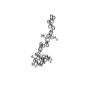 CC(C)(C1CCN(C(=O)COC(=O)N2CCN(c3cnc(-c4c(-c5nn(C(C)(C)C)c6ncnc(N)c56)noc4C4CC4)nc3)CC2)CC1)N1CCN(c2cccc3c2CCCN3[C@@H]2CCC(=O)NC2=O)CC1